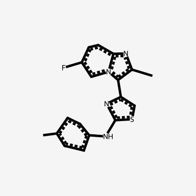 Cc1ccc(Nc2nc(-c3c(C)nc4ccc(F)cn34)cs2)cc1